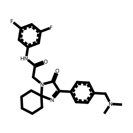 CN(C)Cc1ccc(C2=NC3(CCCCC3)N(CC(=O)Nc3cc(F)cc(F)c3)C2=O)cc1